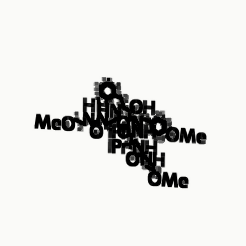 COCCNC(=O)N[C@H](C(=O)NC(Cc1ccccc1)C(O)CN(Cc1ccc(OC)cc1)NC(=O)[C@@H](NC(=O)NCCOC)C(C)C)C(C)C